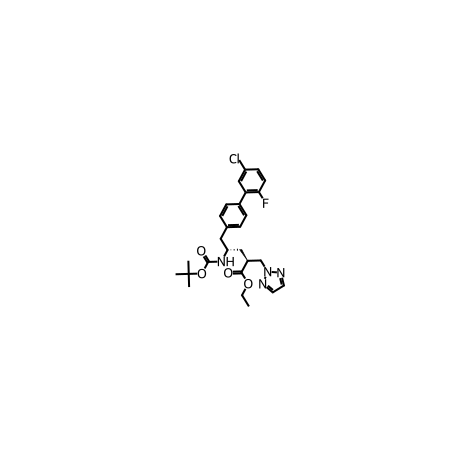 CCOC(=O)[C@@H](C[C@@H](Cc1ccc(-c2cc(Cl)ccc2F)cc1)NC(=O)OC(C)(C)C)Cn1nccn1